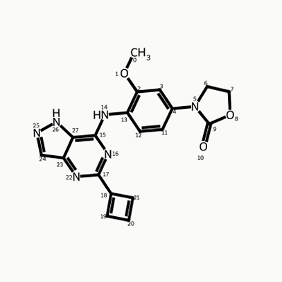 COc1cc(N2CCOC2=O)ccc1Nc1nc(C2=CC=C2)nc2cn[nH]c12